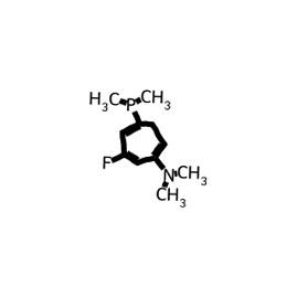 CN(C)C1=CCC(P(C)C)=CC(F)=C1